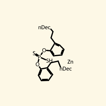 CCCCCCCCCCCCc1ccccc1OP(=S)(S)Oc1ccccc1CCCCCCCCCCCC.[Zn]